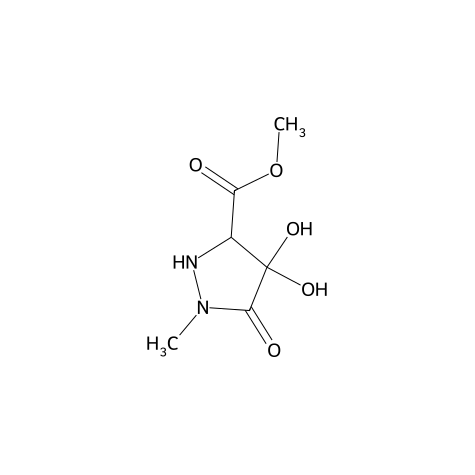 COC(=O)C1NN(C)C(=O)C1(O)O